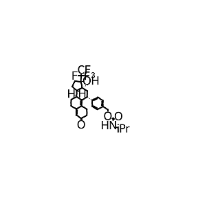 CC(C)NC(=O)OCc1ccc([C@H]2C[C@@]3(C)[C@@H](CC[C@@]3(O)C(F)(F)C(F)(F)F)[C@@H]3CCC4=CC(=O)CCC4=C32)cc1